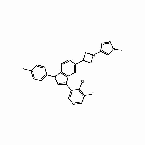 Cc1ccc(-n2cc(-c3cccc(F)c3Cl)c3cc(C4CN(c5cnn(C)c5)C4)ccc32)cc1